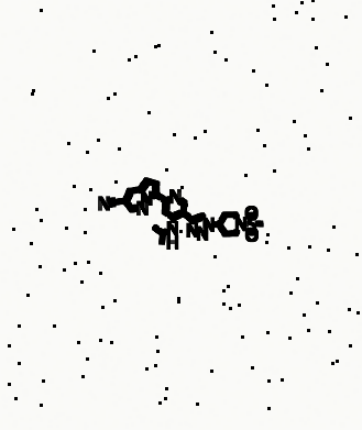 CC(C)Nc1cc(-c2ccc3cc(C#N)cnn23)ncc1-c1cn(C2CCN(S(C)(=O)=O)CC2)nn1